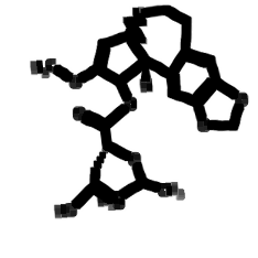 COC1=CC23CCCN2CCc2cc4c(cc2[C@@H]3C1OC(=O)[C@@H](CC(=O)O)OC(C)C)OCO4